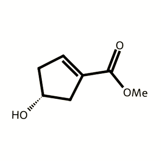 COC(=O)C1=CC[C@@H](O)C1